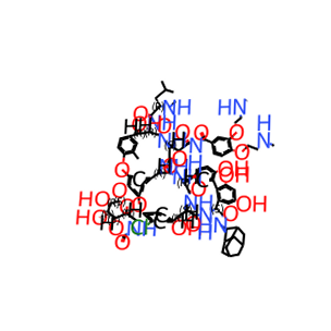 CNCCOc1ccc(C(=O)NC(=O)C[C@@H]2NC(=O)[C@H](NC(=O)[C@@H](CC(C)C)NC)[C@H](O)c3ccc(c(C)c3)Oc3cc4cc(c3O[C@@H]3O[C@@H]5CNC(=O)O[C@H]5[C@H](O)[C@H]3O)Oc3ccc(cc3Cl)[C@@H](O)[C@@H]3NC(=O)[C@H](NC(=O)[C@@H]4NC2=O)c2ccc(O)c(c2)-c2c(O)cc(O)cc2[C@@H](C(=O)NC2C4CC5CC(C4)CC2C5)NC3=O)cc1OCCNC